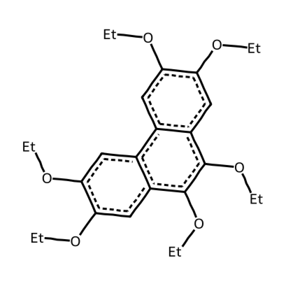 CCOc1cc2c(OCC)c(OCC)c3cc(OCC)c(OCC)cc3c2cc1OCC